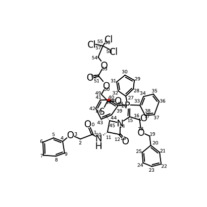 O=C(COc1ccccc1)N[C@H]1C(=O)N(C(C(=O)OCc2ccccc2)=P(c2ccccc2)(c2ccccc2)c2ccccc2)[C@H]1SC(=O)COC(=O)OCC(Cl)(Cl)Cl